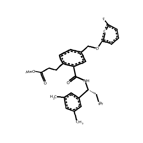 COC(=O)CCc1ccc(COc2cccc(F)c2)cc1C(=O)N[C@H](CC(C)C)c1cc(C)cc(C)c1